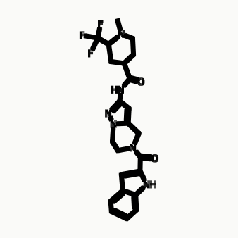 CN1CCC(C(=O)Nc2cc3n(n2)CCN(C(=O)c2cc4ccccc4[nH]2)C3)CC1C(F)(F)F